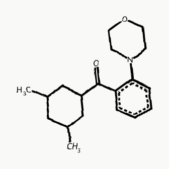 CC1CC(C)CC(C(=O)c2ccccc2N2CCOCC2)C1